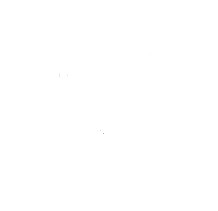 Cc1cccc2c1-c1cc3[nH]c4c5ccccc5ccc4c3cc1C21c2ccccc2-c2ccccc21